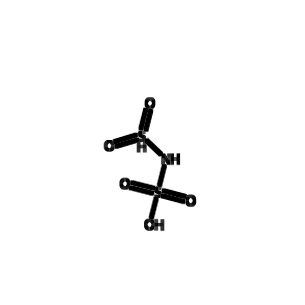 O=[SH](=O)NS(=O)(=O)O